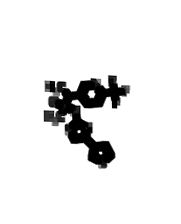 CC(c1ccc(C(F)(F)F)nc1)S(C)(=O)=Nc1nc(-c2ccsc2)cs1